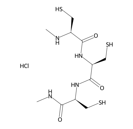 CNC(=O)[C@H](CS)NC(=O)[C@H](CS)NC(=O)[C@H](CS)NC.Cl